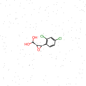 OC(O)[C@@H]1O[C@@H]1c1ccc(Cl)cc1Cl